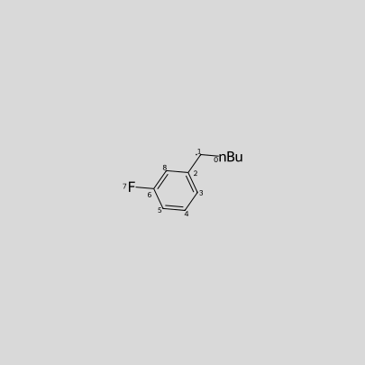 CCCC[CH]c1cccc(F)c1